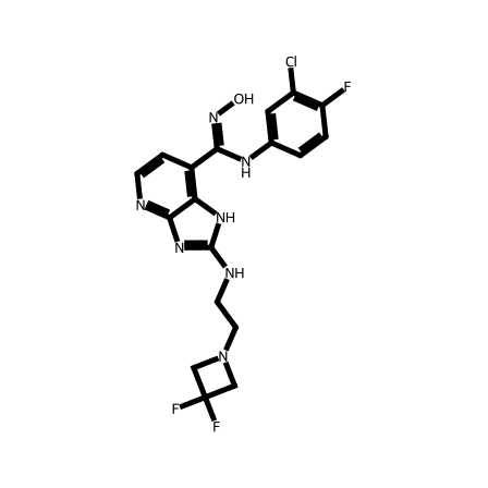 O/N=C(\Nc1ccc(F)c(Cl)c1)c1ccnc2nc(NCCN3CC(F)(F)C3)[nH]c12